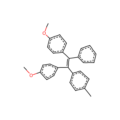 COc1ccc(/C(=C(/c2ccc(C)cc2)c2ccc(OC)cc2)c2ccccc2)cc1